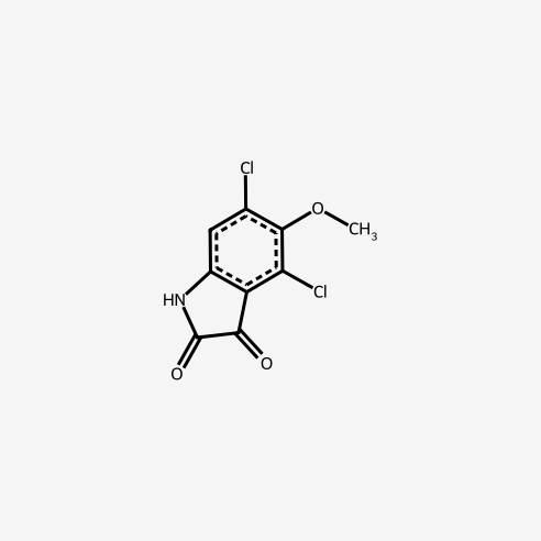 COc1c(Cl)cc2c(c1Cl)C(=O)C(=O)N2